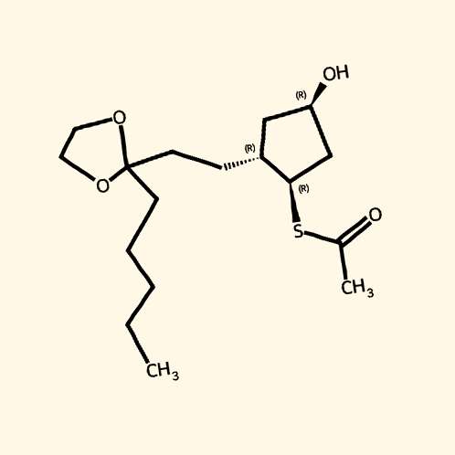 CCCCCC1(CC[C@@H]2C[C@@H](O)C[C@H]2SC(C)=O)OCCO1